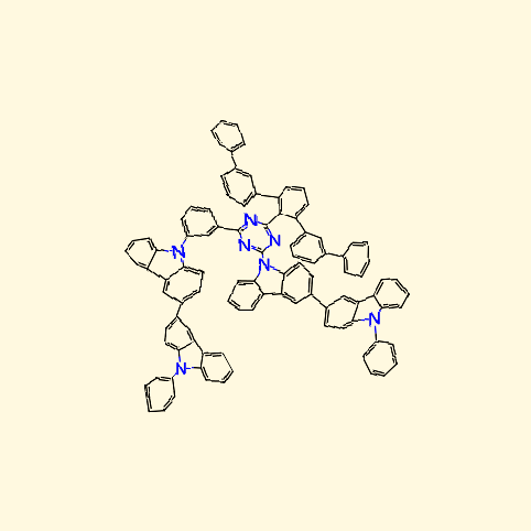 c1ccc(-c2cccc(-c3cccc(-c4cccc(-c5ccccc5)c4)c3-c3nc(-c4cccc(-n5c6ccccc6c6cc(-c7ccc8c(c7)c7ccccc7n8-c7ccccc7)ccc65)c4)nc(-n4c5ccccc5c5cc(-c6ccc7c(c6)c6ccccc6n7-c6ccccc6)ccc54)n3)c2)cc1